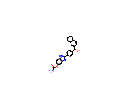 NC(=O)Oc1ccc2[nH]c(-c3ccc(C(O)c4ccc5ccccc5c4)cc3)nc2c1